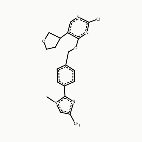 Cn1cc(C(F)(F)F)nc1-c1ccc(COc2nc(Cl)ncc2C2CCOC2)cc1